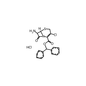 Cl.NC1C(=O)N2C(C(=O)OC(c3ccccc3)c3ccccc3)=C(Cl)CS[C@H]12